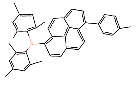 Cc1ccc(-c2ccc3ccc4c(B(c5c(C)cc(C)cc5C)c5c(C)cc(C)cc5C)ccc5ccc2c3c54)cc1